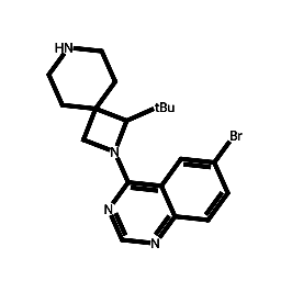 CC(C)(C)C1N(c2ncnc3ccc(Br)cc23)CC12CCNCC2